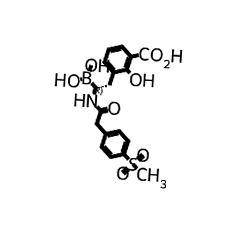 CS(=O)(=O)c1ccc(CC(=O)N[C@@H](Cc2cccc(C(=O)O)c2O)B(O)O)cc1